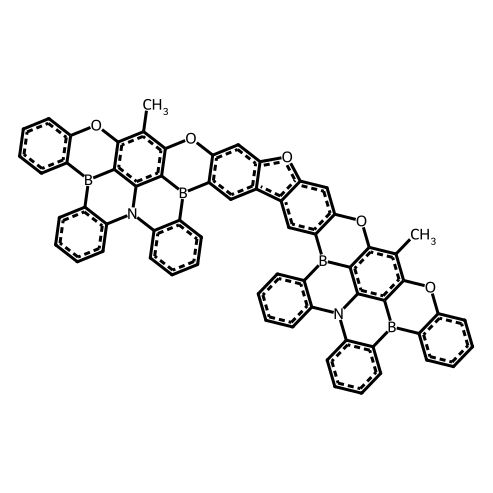 Cc1c2c3c4c5c1Oc1cc6oc7cc8c(cc7c6cc1B5c1ccccc1N4c1ccccc1B3c1ccccc1O2)B1c2ccccc2N2c3ccccc3B3c4ccccc4Oc4c(C)c(c1c2c43)O8